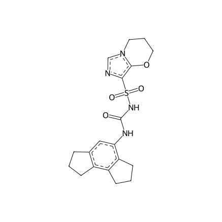 O=C(Nc1cc2c(c3c1CCC3)CCC2)NS(=O)(=O)c1ncn2c1OCCC2